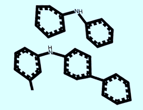 Cc1cccc(Nc2ccc(-c3ccccc3)cc2)c1.c1ccc(Nc2ccccc2)cc1